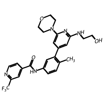 Cc1ccc(NC(=O)c2ccnc(C(F)(F)F)c2)cc1-c1cc(NCCO)nc(N2CCOCC2)c1